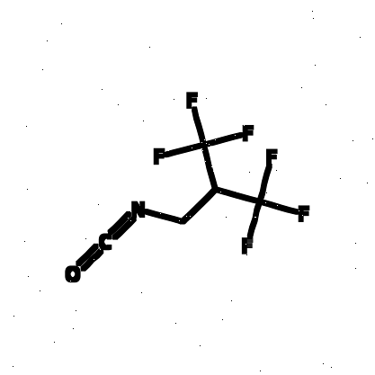 O=C=NCC(C(F)(F)F)C(F)(F)F